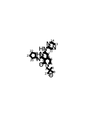 CC1(Cn2ccc3cc(Nc4cnccn4)nc(NC4CCCC4)c3c2=O)COC1